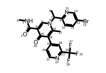 CNC(=O)c1cn(C(C)c2ccc(Br)cn2)c(C)c(-c2ccnc(C(F)(F)F)c2)c1=O